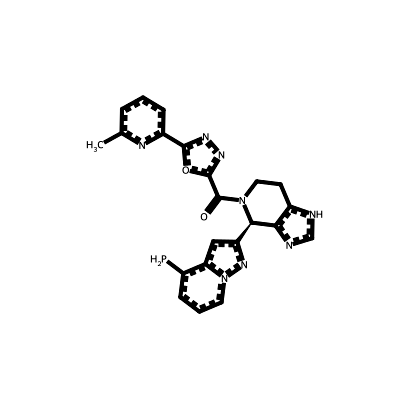 Cc1cccc(-c2nnc(C(=O)N3CCc4[nH]cnc4[C@H]3c3cc4c(P)cccn4n3)o2)n1